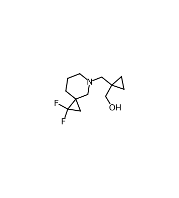 OCC1(CN2CCCC3(C2)CC3(F)F)CC1